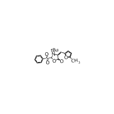 Cc1ccc(C=C2C(=O)OC(S(=O)(=O)c3ccccc3)N2C(C)(C)C)o1